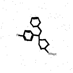 CCCCCCCC1CCC(C(CC2CC=CCC2)c2ccc(F)cc2)CC1